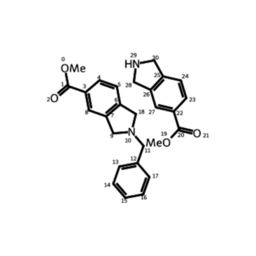 COC(=O)c1ccc2c(c1)CN(Cc1ccccc1)C2.COC(=O)c1ccc2c(c1)CNC2